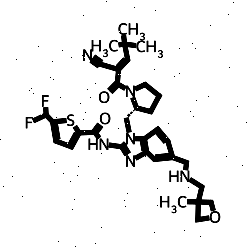 CC(C)(C)/C=C(\C#N)C(=O)N1CCC[C@@H]1Cn1c(NC(=O)c2ccc(C(F)F)s2)nc2cc(CNCC3(C)COC3)ccc21